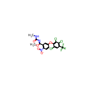 CNC(=O)N=C(OC)c1cc(Oc2c(Cl)cc(C(F)(F)F)c(Cl)c2Cl)ccc1[N+](=O)[O-]